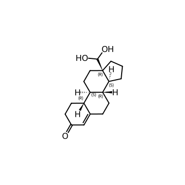 O=C1C=C2CC[C@@H]3[C@H](CC[C@]4(C(O)O)CCC[C@@H]34)[C@H]2CC1